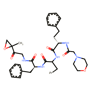 CC(C)CC(NC(=O)[C@H](CCc1ccccc1)NC(=O)CN1CCOCC1)C(=O)N[C@@H](Cc1ccccc1)C(=O)NCC(=O)C1(C)CO1